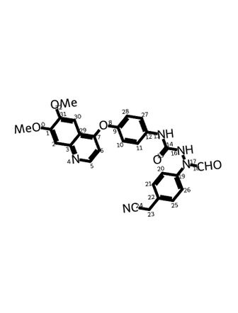 COc1cc2nccc(Oc3ccc(NC(=O)NN(C=O)c4ccc(CC#N)cc4)cc3)c2cc1OC